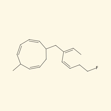 C/C=C(\C=C/CCF)CC1C=CC=CC(C)/C=C\C1